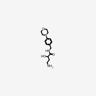 NCCC(O)C(=O)NCc1ccc(N2CCOCC2)cc1